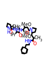 CCC(C)C(C(CC(=O)N1CCCC1C(OC)C(C)C(=O)NCCC1C=CC=CC=C1)OC)N(C)C(=O)C(NC(=O)C1(C)CCCN1)C(C)C